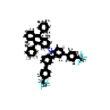 FC(F)(F)c1ccc(-c2ccc3c(c2)c2cc(-c4ccc(C(F)(F)F)cc4)ccc2n3-c2ccc3c(-c4ccccc4)c4ccccc4c(-c4ccccc4)c3c2)cc1